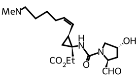 CCOC(=O)[C@@]1(NC(=O)N2C[C@H](O)C[C@H]2C=O)C[C@H]1/C=C\CCCCNC